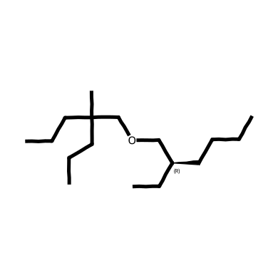 CCCC[C@@H](CC)COCC(C)(CCC)CCC